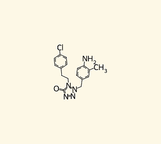 Cc1cc(Cn2nnc(=O)n2CCc2ccc(Cl)cc2)ccc1N